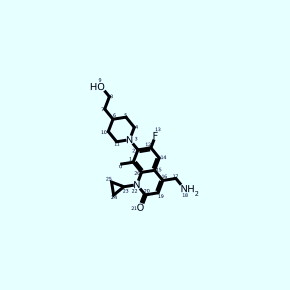 Cc1c(N2CCC(CCO)CC2)c(F)cc2c(CN)cc(=O)n(C3CC3)c12